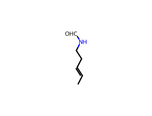 CC=CCCNC=O